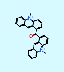 C[n+]1c2ccccc2cc2c(C(=O)c3cccc4c3cc3ccccc3[n+]4C)cccc21